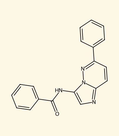 O=C(Nc1cnc2ccc(-c3ccccc3)nn12)c1ccccc1